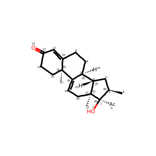 CC(=O)[C@@]1(O)[C@H](C)C[C@H]2[C@@H]3CCC4=CC(=O)CC[C@]4(C)C3=CC[C@@]21C